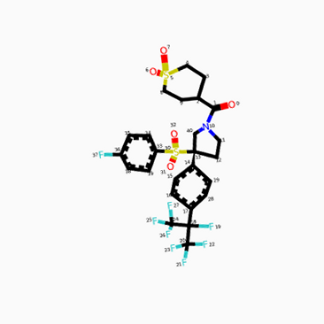 O=C(C1CCS(=O)(=O)CC1)N1CC[C@](c2ccc(C(F)(C(F)(F)F)C(F)(F)F)cc2)(S(=O)(=O)c2ccc(F)cc2)C1